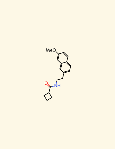 COc1ccc2ccc(CCNC(=O)C3CCC3)cc2c1